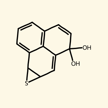 OC1(O)C=Cc2cccc3c2C1=CC1SC31